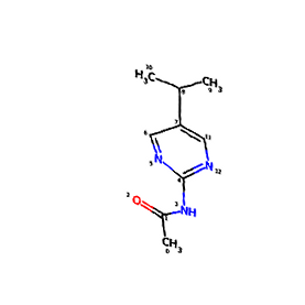 CC(=O)Nc1ncc(C(C)C)cn1